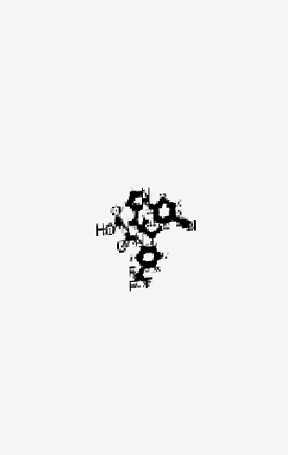 CCC1(C)C(c2ccnn2-c2ccc(C#N)cc2)N(C(=O)O)C(=O)N1c1cccc(C(F)(F)F)c1